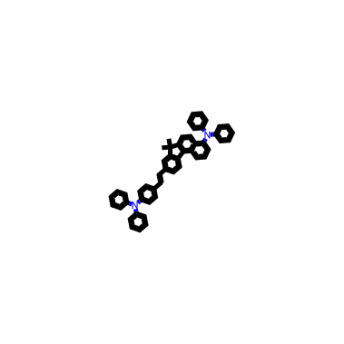 CC1(C)c2cc(/C=C/c3ccc(N(c4ccccc4)c4ccccc4)cc3)ccc2-c2c1ccc1c(N(c3ccccc3)c3ccccc3)cccc21